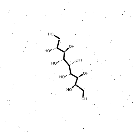 OC[C@@H](O)[C@H](O)[C@H](O)[C@@H](O)[C@H](O)[C@H](O)[C@H](O)CO